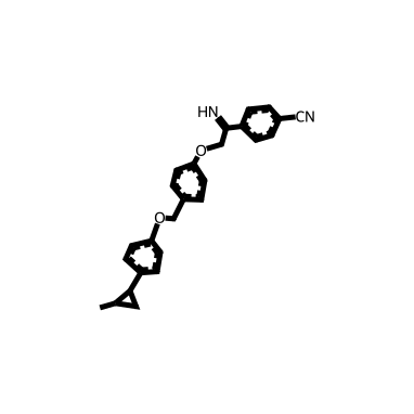 CC1CC1c1ccc(OCc2ccc(OCC(=N)c3ccc(C#N)cc3)cc2)cc1